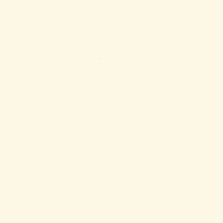 C=CCOc1ccc(C(F)(F)OC2CCC(C3CCC(c4ccc(OC(F)(F)F)c(F)c4)CC3)CC2)c(F)c1